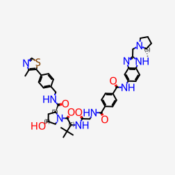 Cc1ncsc1-c1ccc(CNC(=O)[C@@H]2C[C@@H](O)CN2C(=O)[C@@H](NC(=O)CNC(=O)c2ccc(C(=O)Nc3ccc4[nH]c(CN5CCC[C@@H]5C)nc4c3)cc2)C(C)(C)C)cc1